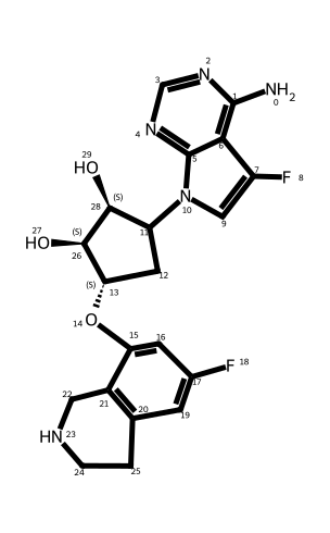 Nc1ncnc2c1c(F)cn2C1C[C@H](Oc2cc(F)cc3c2CNCC3)[C@@H](O)[C@H]1O